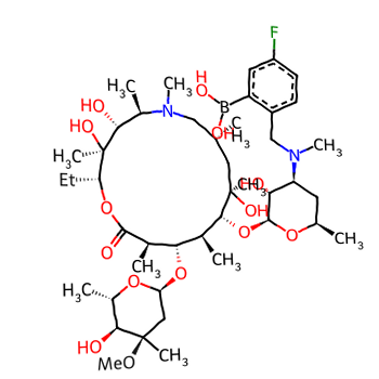 CC[C@H]1OC(=O)[C@H](C)[C@@H](O[C@H]2C[C@@](C)(OC)[C@@H](O)[C@H](C)O2)[C@H](C)[C@@H](O[C@@H]2O[C@H](C)C[C@H](N(C)Cc3ccc(F)cc3B(O)O)[C@H]2O)[C@](C)(O)C[C@@H](C)CN(C)[C@H](C)[C@@H](O)[C@]1(C)O